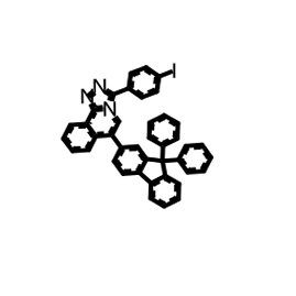 Ic1ccc(-c2nnc3c4ccccc4c(-c4ccc5c(c4)C(c4ccccc4)(c4ccccc4)c4ccccc4-5)cn23)cc1